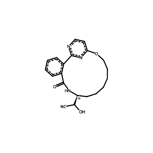 N#CC(O)[C@@H]1CCCCCCOc2ccnc(n2)-c2ccccc2C(=O)N1